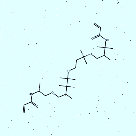 C=CC(=O)NC(C)COCC(C)C(C)(C)C(C)(C)OCCC(C)(C)OCC(C)C(C)(C)NC(=O)C=C